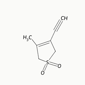 C#CC1=C(C)CS(=O)(=O)C1